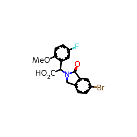 COc1ccc(F)cc1C(C(=O)O)N1Cc2ccc(Br)cc2C1=O